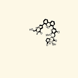 COc1nc(-c2cccc(-c3cccc(-c4cc5c(=O)n(C)c(CO)nn5c4)c3Cl)c2Cl)cc(Cl)c1CN(C[C@H]1CCC(=O)N1)C(=O)OC(C)(C)C